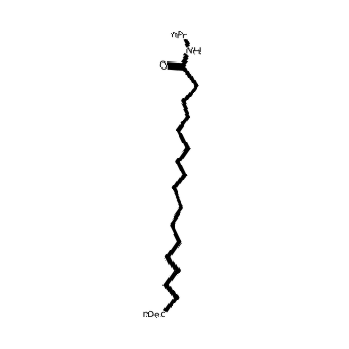 CC[CH]NC(=O)CCCCCCCCCCCCCCCCCCCCCCCCC